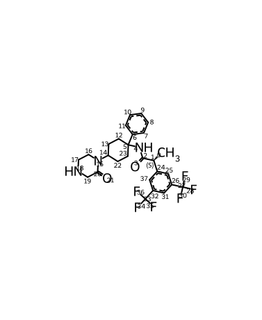 C[C@H](C(=O)NC1(c2ccccc2)CCC(N2CCNCC2=O)CC1)c1cc(C(F)(F)F)cc(C(F)(F)F)c1